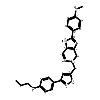 CCCOc1ccc(-c2cc(CN3Cc4nc(-c5ccc(OC)cc5)[nH]c4C=N3)on2)cc1